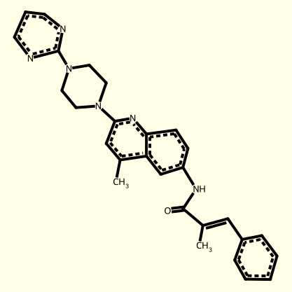 CC(=Cc1ccccc1)C(=O)Nc1ccc2nc(N3CCN(c4ncccn4)CC3)cc(C)c2c1